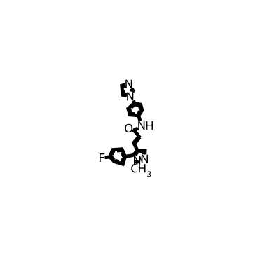 Cn1ncc(C=CC(=O)Nc2ccc(-n3ccnc3)cc2)c1-c1ccc(F)cc1